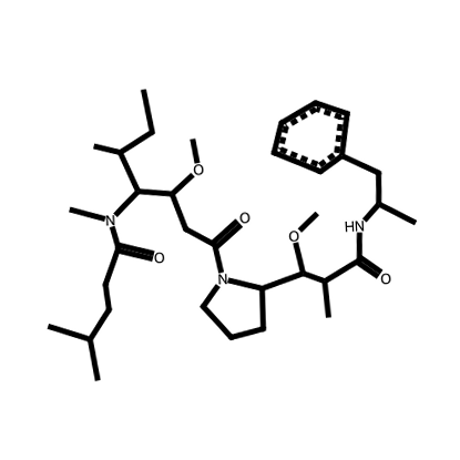 CCC(C)C(C(CC(=O)N1CCCC1C(OC)C(C)C(=O)NC(C)Cc1ccccc1)OC)N(C)C(=O)CCC(C)C